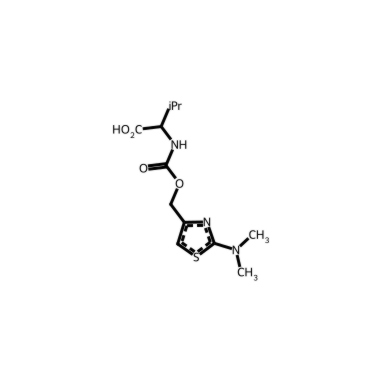 CC(C)C(NC(=O)OCc1csc(N(C)C)n1)C(=O)O